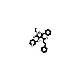 CCn1nc(-c2ccccc2)c(C(=O)CCc2ccccc2)c(Nc2cccnc2)c1=O